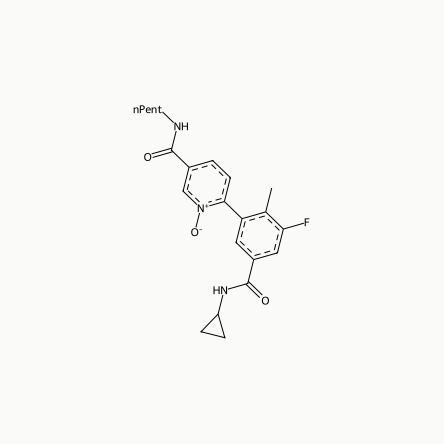 CCCCCNC(=O)c1ccc(-c2cc(C(=O)NC3CC3)cc(F)c2C)[n+]([O-])c1